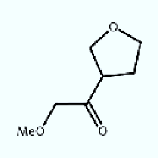 COCC(=O)C1CCOC1